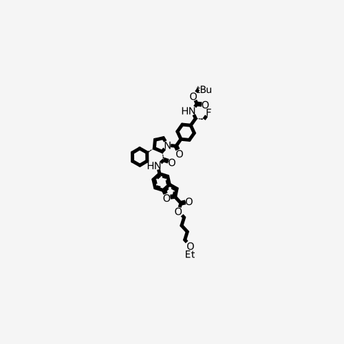 CCOCCCCOC(=O)c1cc2cc(NC(=O)[C@@H]3[C@H](C4CCCCC4)CCN3C(=O)C3CCC([C@@H](CF)NC(=O)OC(C)(C)C)CC3)ccc2o1